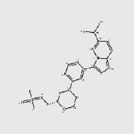 CS(C)(=O)=NC[C@@H]1CN(c2cc(-c3cnc4ccc(C(F)F)nn34)ncn2)CCO1